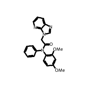 COc1ccc(N(C(=O)Cn2cnc3cccnc32)c2ccccc2)c(OC)c1